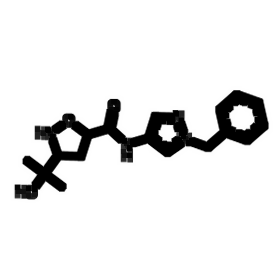 CC(C)(O)C1CC(C(=O)Nc2cnn(Cc3ccccc3)c2)ON1